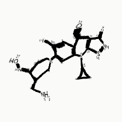 NCC1CN(c2cc3c(cc2F)c(=O)c2c(=O)[nH]sc2n3C2CC2)C/C1=N\O